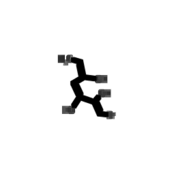 C\C=C(O)/C=C(O)\C(O)=C\Br